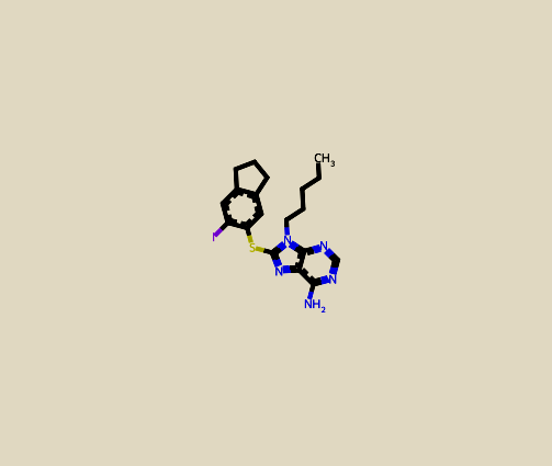 CCCCCn1c(Sc2cc3c(cc2I)CCC3)nc2c(N)ncnc21